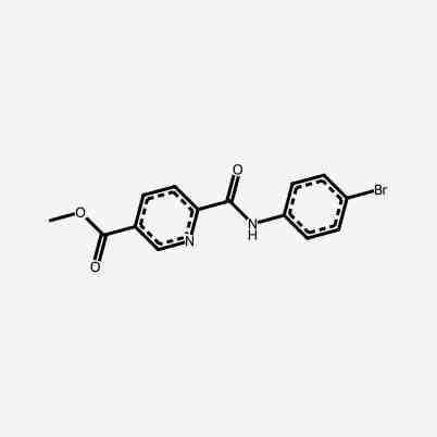 COC(=O)c1ccc(C(=O)Nc2ccc(Br)cc2)nc1